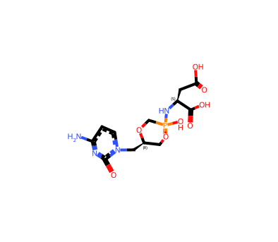 Nc1ccn(C[C@@H]2CO[PH](O)(N[C@@H](CC(=O)O)C(=O)O)CO2)c(=O)n1